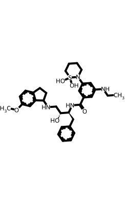 CCNc1cc(C(=O)N[C@@H](Cc2ccccc2)[C@H](O)CNC2CCc3ccc(OC)cc32)cc(N2CCCCS2(O)O)c1